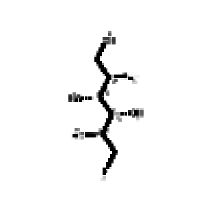 OC[C@@H](O)[C@@H](O)[C@H](O)[C@H](O)CF